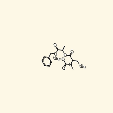 CC(OC(=O)C(CC(C)(C)C)N(C)C(=O)OC(C)(C)C)C(=O)OCc1ccccc1